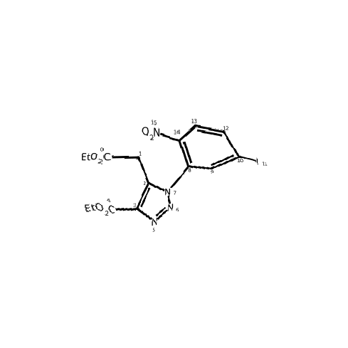 CCOC(=O)Cc1c(C(=O)OCC)nnn1-c1cc(I)ccc1[N+](=O)[O-]